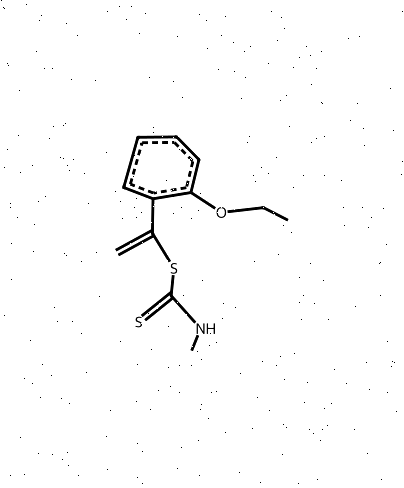 C=C(SC(=S)NC)c1ccccc1OCC